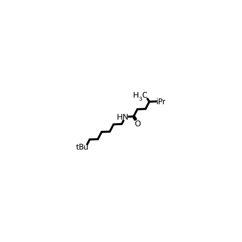 CC(C)C(C)CCC(=O)NCCCCCCC(C)(C)C